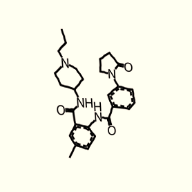 CCCN1CCC(NC(=O)c2cc(C)ccc2NC(=O)c2cccc(N3CCCC3=O)c2)CC1